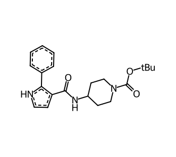 CC(C)(C)OC(=O)N1CCC(NC(=O)c2cc[nH]c2-c2ccccc2)CC1